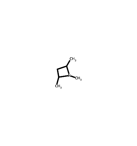 CC1CC(C)N1C